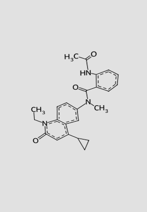 CCn1c(=O)cc(C2CC2)c2cc(N(C)C(=O)c3ccccc3NC(C)=O)ccc21